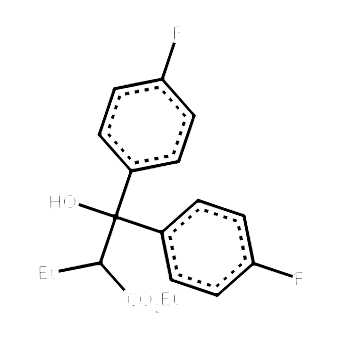 CCOC(=O)C(CC)C(O)(c1ccc(F)cc1)c1ccc(F)cc1